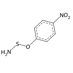 NSOc1ccc([N+](=O)[O-])cc1